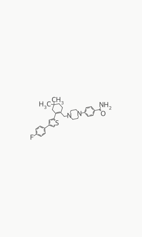 CC1(C)CCC(CN2CCN(c3ccc(C(N)=O)cc3)CC2)=C(c2cc(-c3ccc(F)cc3)cs2)C1